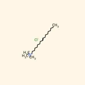 CCCCCCCCC=CCCCCCCCC[N+](C)(C)C.[Cl-]